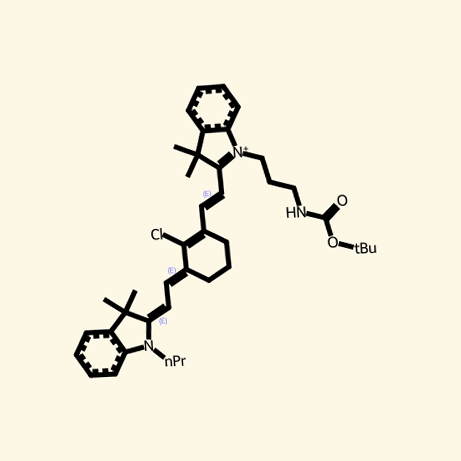 CCCN1/C(=C/C=C2\CCCC(/C=C/C3=[N+](CCCNC(=O)OC(C)(C)C)c4ccccc4C3(C)C)=C2Cl)C(C)(C)c2ccccc21